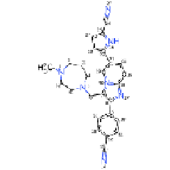 CN1CCCN(Cc2c(-c3ccc(C#N)cc3)nc3ccc(-c4ccc(C#N)[nH]4)cn23)CC1